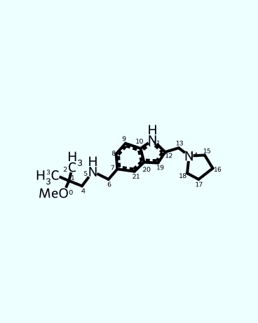 COC(C)(C)CNCc1ccc2[nH]c(CN3CCCC3)cc2c1